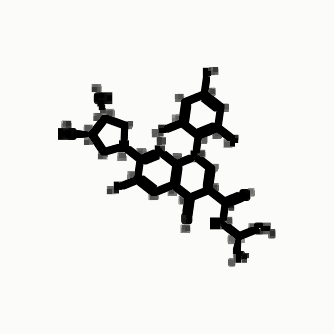 CC(C)[C@H](C)NC(=O)c1cn(-c2c(F)cc(F)cc2F)c2nc(N3C[C@@H](O)[C@H](O)C3)c(F)cc2c1=O